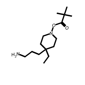 CCC1(CCCN)CCN(OC(=O)C(C)(C)C)CC1